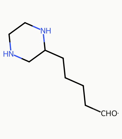 O=[C]CCCCC1CNCCN1